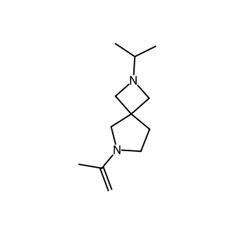 C=C(C)N1CCC2(C1)CN(C(C)C)C2